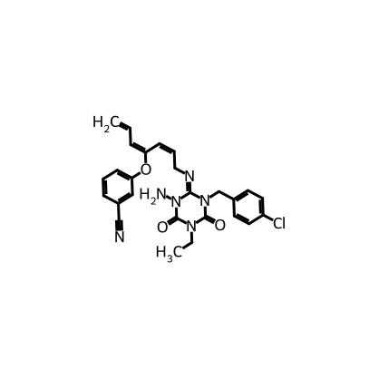 C=C/C=C(\C=C/C/N=c1\n(N)c(=O)n(CC)c(=O)n1Cc1ccc(Cl)cc1)Oc1cccc(C#N)c1